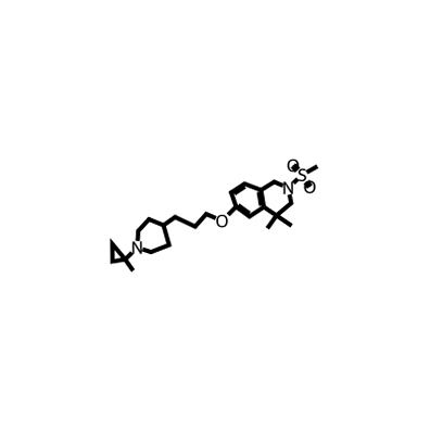 CC1(C)CN(S(C)(=O)=O)Cc2ccc(OCCCC3CCN(C4(C)CC4)CC3)cc21